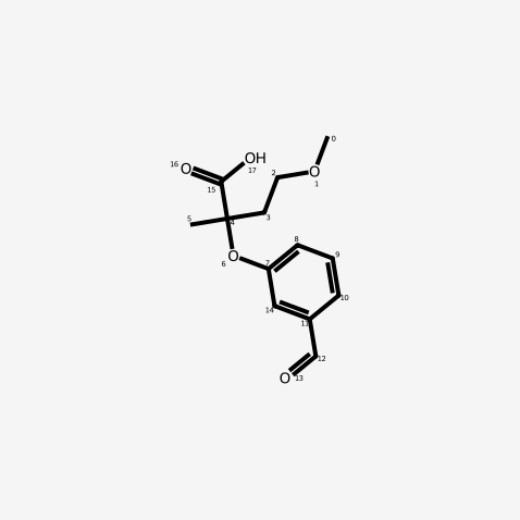 COCCC(C)(Oc1cccc(C=O)c1)C(=O)O